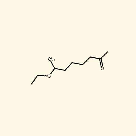 CCOC(O)CCCCC(C)=O